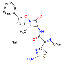 CON=C(C(=O)N[C@@H]1C(=O)N(OC(C(=O)O)c2ccccc2)[C@H]1C)c1csc(N)n1.[NaH]